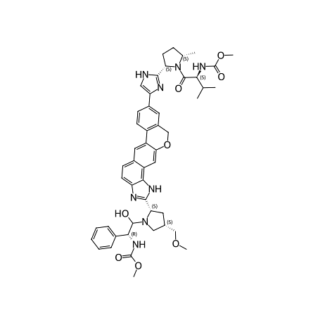 COC[C@H]1C[C@@H](c2nc3ccc4cc5c(cc4c3[nH]2)OCc2cc(-c3c[nH]c([C@@H]4CC[C@H](C)N4C(=O)[C@@H](NC(=O)OC)C(C)C)n3)ccc2-5)N(C(O)[C@H](NC(=O)OC)c2ccccc2)C1